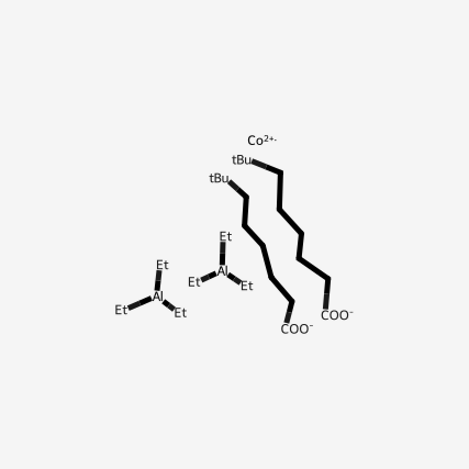 CC(C)(C)CCCCCC(=O)[O-].CC(C)(C)CCCCCC(=O)[O-].C[CH2][Al]([CH2]C)[CH2]C.C[CH2][Al]([CH2]C)[CH2]C.[Co+2]